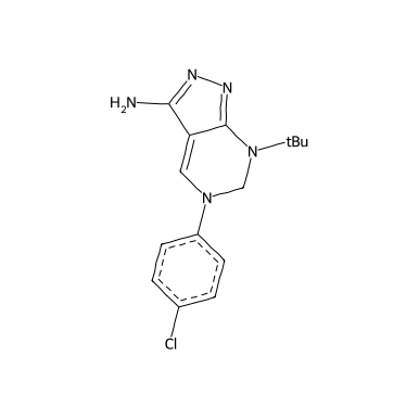 CC(C)(C)N1CN(c2ccc(Cl)cc2)C=C2C(N)=NN=C21